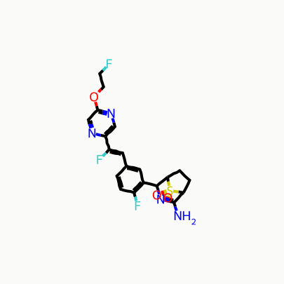 NC1=NC(c2cc(/C=C(\F)c3cnc(OCCF)cn3)ccc2F)C2CCC1S2(=O)=O